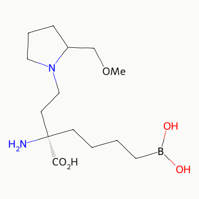 COCC1CCCN1CC[C@](N)(CCCCB(O)O)C(=O)O